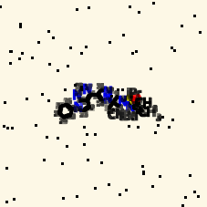 CC(C)S(=O)(=N[Si](C)(C)C(C)(C)C)N1CC(CC#N)(n2cc(-c3ncnc4c3ccn4-c3ccccc3)cn2)C1